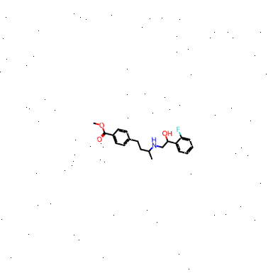 COC(=O)c1ccc(CCC(C)NCC(O)c2ccccc2F)cc1